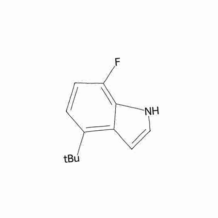 CC(C)(C)c1ccc(F)c2[nH]ccc12